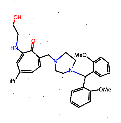 COc1ccccc1C(c1ccccc1OC)N1CCN(Cc2ccc(C(C)C)cc(NCCO)c2=O)CC1